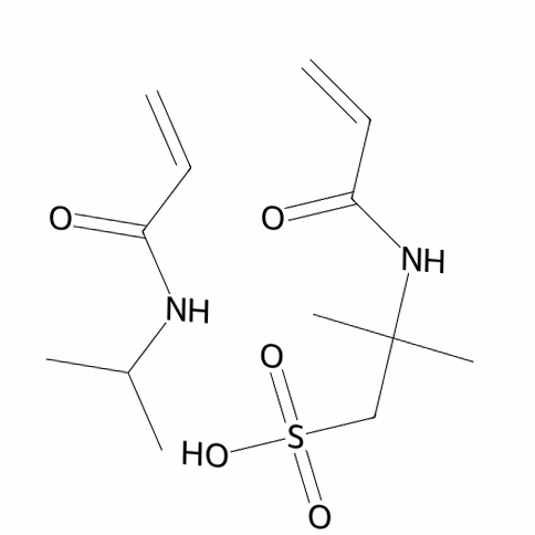 C=CC(=O)NC(C)(C)CS(=O)(=O)O.C=CC(=O)NC(C)C